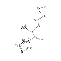 C=C(C(S)CCCCC)n1ccnc1